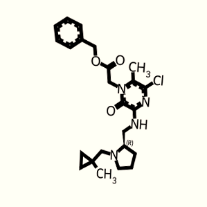 Cc1c(Cl)nc(NC[C@H]2CCCN2CC2(C)CC2)c(=O)n1CC(=O)OCc1ccccc1